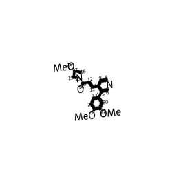 COc1ccc(-c2cnccc2/C=C/C(=O)N2CC(OC)C2)cc1OC